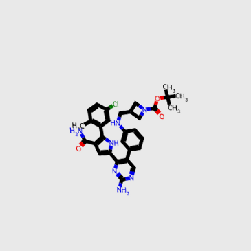 Cc1ccc(Cl)cc1-c1[nH]c(-c2nc(N)ncc2-c2cccc(NCC3CN(C(=O)OC(C)(C)C)C3)c2)cc1C(N)=O